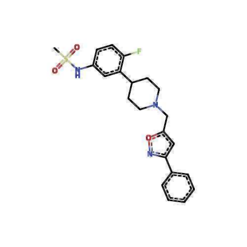 CS(=O)(=O)Nc1ccc(F)c(C2CCN(Cc3cc(-c4ccccc4)no3)CC2)c1